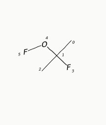 CC(C)(F)OF